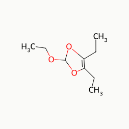 CCOC1OC(CC)=C(CC)O1